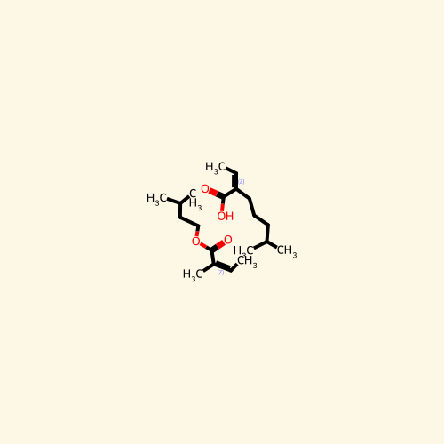 C/C=C(/C)C(=O)OCCC(C)C.C/C=C(/CCCC(C)C)C(=O)O